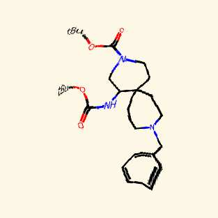 CC(C)(C)OC(=O)NC1CN(C(=O)OC(C)(C)C)CCC12CCN(Cc1ccccc1)CC2